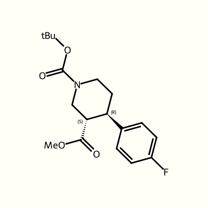 COC(=O)[C@@H]1CN(C(=O)OC(C)(C)C)CC[C@H]1c1ccc(F)cc1